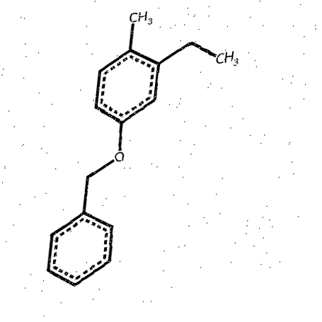 CCc1cc(OCc2ccccc2)ccc1C